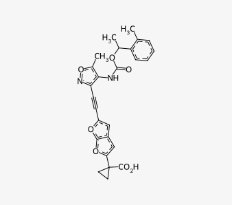 Cc1ccccc1C(C)OC(=O)Nc1c(C#Cc2cc3cc(C4(C(=O)O)CC4)oc3o2)noc1C